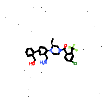 CC[C@@H]1CN(C(=O)c2ccc(Cl)cc2C(F)(F)F)CCN1c1ccc(-c2ccccc2CO)cc1CN